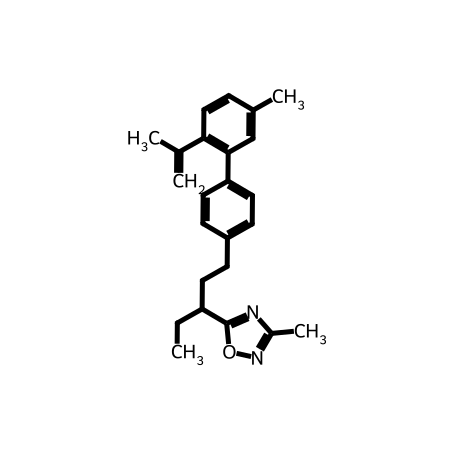 C=C(C)c1ccc(C)cc1-c1ccc(CCC(CC)c2nc(C)no2)cc1